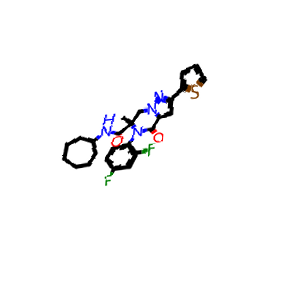 CC1(C(=O)NC2CCCCCC2)Cn2nc(-c3cccs3)cc2C(=O)N1c1ccc(F)cc1F